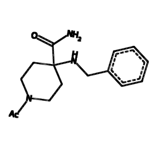 CC(=O)N1CCC(NCc2ccccc2)(C(N)=O)CC1